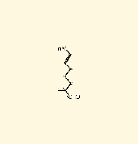 CCCC=CCCCC(C)[C]=O